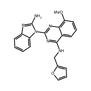 COc1cccc2c(NCc3ccco3)nc(-n3c(N)nc4ccccc43)nc12